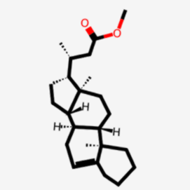 COC(=O)C[C@@H](C)[C@H]1CC[C@H]2[C@@H]3CC=C4CCCC[C@]4(C)[C@H]3CC[C@]12C